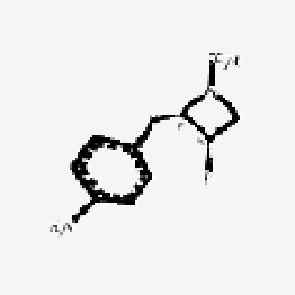 Nc1ccc(C[C@@H]2[C@H](F)CN2C(=O)O)cc1